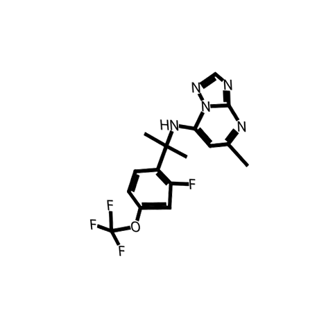 Cc1cc(NC(C)(C)c2ccc(OC(F)(F)F)cc2F)n2ncnc2n1